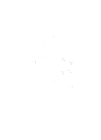 Clc1ccc(Cl)c(Cc2nnnn2-c2cccc(Cl)c2Cl)c1